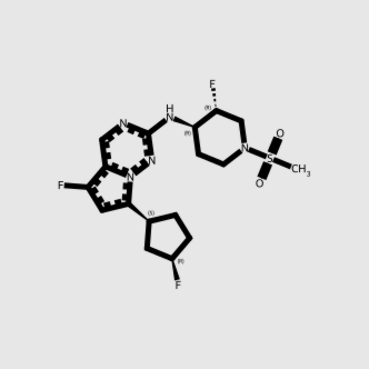 CS(=O)(=O)N1CC[C@@H](Nc2ncc3c(F)cc([C@H]4CC[C@@H](F)C4)n3n2)[C@H](F)C1